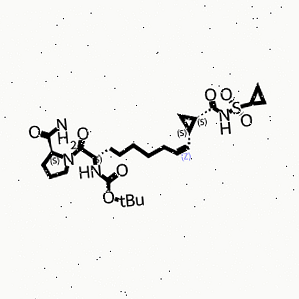 CC(C)(C)OC(=O)N[C@@H](CCCCC/C=C\[C@@H]1C[C@@H]1C(=O)NS(=O)(=O)C1CC1)C(=O)N1CCC[C@H]1C(N)=O